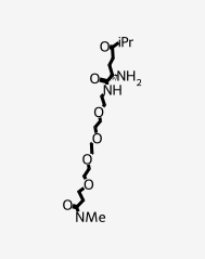 CNC(=O)CCOCCOCCOCCOCCNC(=O)[C@@H](N)CCC(=O)C(C)C